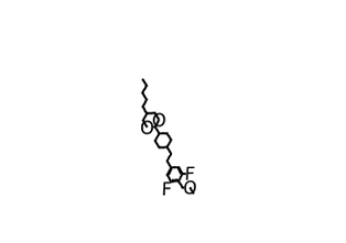 CCCCCC1COC(C2CCC(CCc3cc(F)c(COC)c(F)c3)CC2)OC1